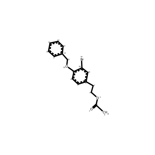 CC(=O)OCCc1ccc(OCc2ccccc2)c(Br)c1